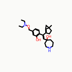 CCN(CC)OCc1ccc(/C(=C/C2(O)CCCNCC2)C2=C3CC3(C)CC2)c(O)c1